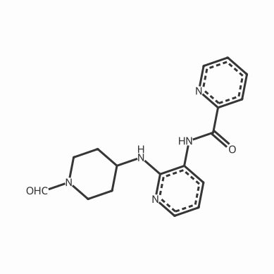 O=CN1CCC(Nc2ncccc2NC(=O)c2ccccn2)CC1